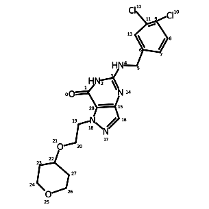 O=c1[nH]c(NCc2ccc(Cl)c(Cl)c2)nc2cnn(CCOC3CCOCC3)c12